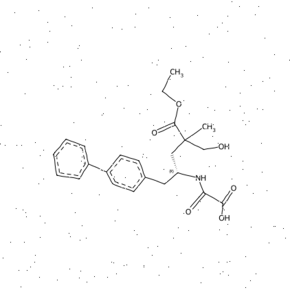 CCOC(=O)C(C)(CO)C[C@@H](Cc1ccc(-c2ccccc2)cc1)NC(=O)C(=O)O